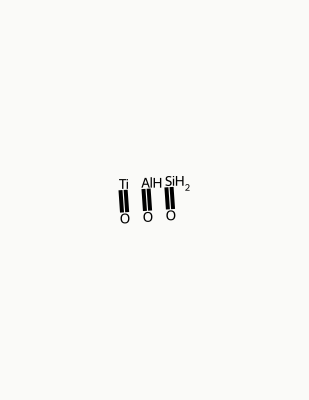 O=[SiH2].[O]=[AlH].[O]=[Ti]